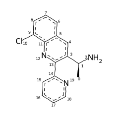 C[C@H](N)c1cc2cccc(Cl)c2nc1-c1ccccn1